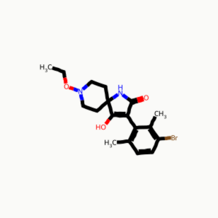 CCON1CCC2(CC1)NC(=O)C(c1c(C)ccc(Br)c1C)=C2O